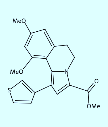 COC(=O)c1cc(-c2ccsc2)c2n1CCc1cc(OC)cc(OC)c1-2